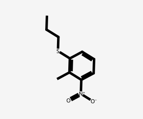 CCCSc1cccc([N+](=O)[O-])c1C